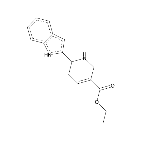 CCOC(=O)C1=CCC(c2cc3ccccc3[nH]2)NC1